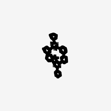 C[Si]1(C)c2ccccc2-c2nc(-c3ccccc3)nc(-c3cccc(-c4cccc(-c5nc(-c6ccccc6)nc(-c6ccccc6)n5)c4)c3)c21